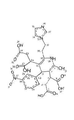 CC1=C(C(CC(=O)O)C(=O)O)C(c2cccc([N+](=O)[O-])c2)C(C(CC(=O)O)C(=O)O)=C(CCn2ccnc2)N1